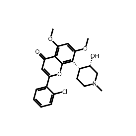 COc1cc(OC)c2c(=O)cc(-c3ccccc3Cl)oc2c1[C@H]1CCN(C)C[C@H]1O